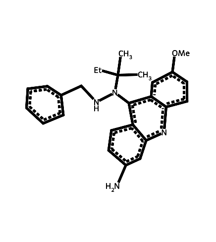 CCC(C)(C)N(NCc1ccccc1)c1c2ccc(N)cc2nc2ccc(OC)cc12